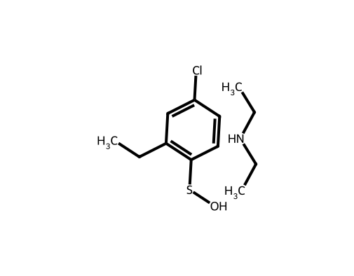 CCNCC.CCc1cc(Cl)ccc1SO